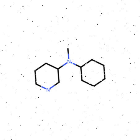 CN(C1CCCCC1)C1CCC[N]C1